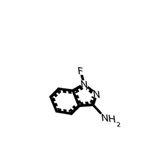 Nc1nn(F)c2ccccc12